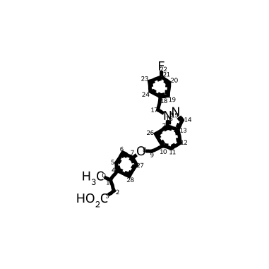 CC(CC(=O)O)c1ccc(OCc2ccc3cnn(Cc4ccc(F)cc4)c3c2)cc1